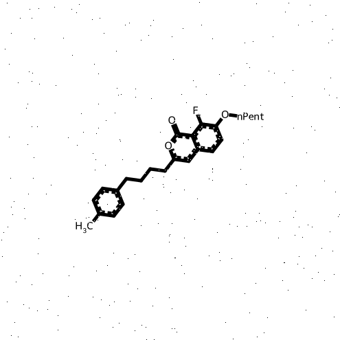 CCCCCOc1ccc2cc(CCCCc3ccc(C)cc3)oc(=O)c2c1F